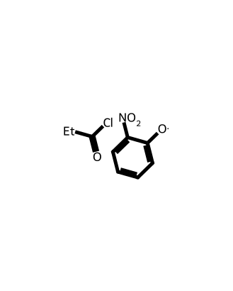 CCC(=O)Cl.[O]c1ccccc1[N+](=O)[O-]